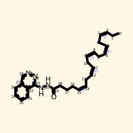 CC/C=C\C/C=C\C/C=C\C/C=C\C/C=C\CCCC(=O)NNc1nncc2ccccc12